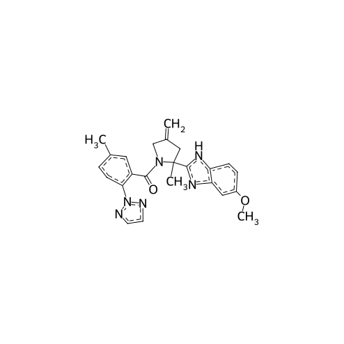 C=C1CN(C(=O)c2cc(C)ccc2-n2nccn2)C(C)(c2nc3cc(OC)ccc3[nH]2)C1